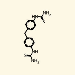 NC(=S)Nc1ccc(Cc2ccc(NC(N)=S)cc2)cc1